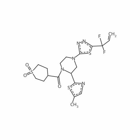 C=CC(F)(F)c1nnc(N2CCN(C(=O)C3CCS(=O)(=O)CC3)C(c3ncc(C)s3)C2)s1